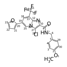 COc1ccc(CNC(=O)c2nc3c(C(F)(F)F)cc(-c4ccco4)cn3c2Cl)cc1